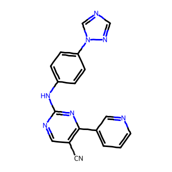 N#Cc1cnc(Nc2ccc(-n3cncn3)cc2)nc1-c1cccnc1